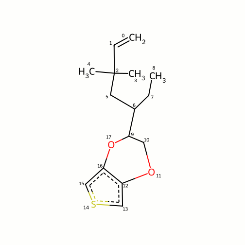 C=CC(C)(C)CC(CC)C1COc2cscc2O1